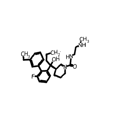 [CH2]CCC(O)(c1cccc(F)c1-c1cccc(CC)c1)C1CCCN(C(=O)NCCNC)C1